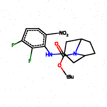 CC(C)(C)OC(=O)N1C2CCC1CC(Nc1c([N+](=O)[O-])ccc(F)c1F)C2